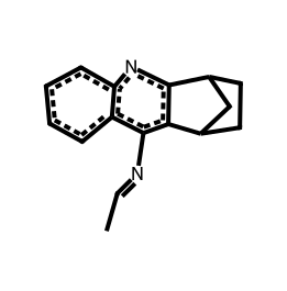 CC=Nc1c2c(nc3ccccc13)C1CCC2C1